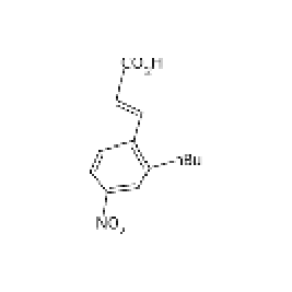 CCCCc1cc([N+](=O)[O-])ccc1C=CC(=O)O